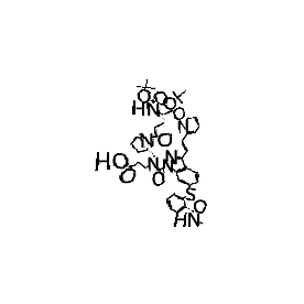 CNC(=O)c1ccccc1Sc1ccc2c(/C=C/c3ccccn3)nn(C(=O)N(CCC(=O)O)C[C@@H]3CCCN3C(=O)CC[C@H](NC(=O)OC(C)(C)C)C(=O)OC(C)(C)C)c2c1